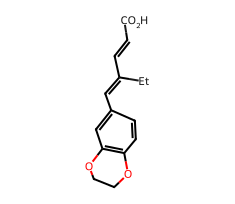 CCC(/C=C/C(=O)O)=C\c1ccc2c(c1)OCCO2